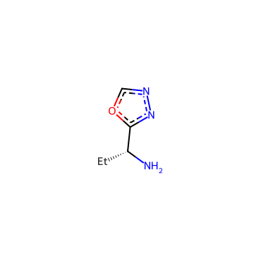 CC[C@@H](N)c1nnco1